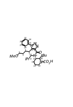 COCCCCc1c(C(=O)N(CC(C)C)[C@H]2CCCN(C(=O)O)C2C(C)(C)C)nnn1-c1ccccc1